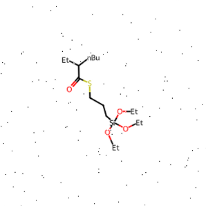 CCCCC(CC)C(=O)SCCC[Si](OCC)(OCC)OCC